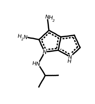 CC(C)Nn1c(N)c(N)c2cc[nH]c21